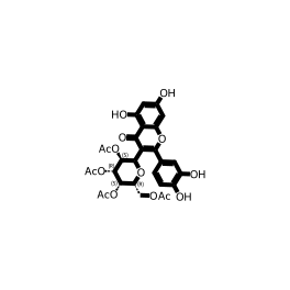 CC(=O)OC[C@H]1OC(c2c(-c3ccc(O)c(O)c3)oc3cc(O)cc(O)c3c2=O)[C@H](OC(C)=O)[C@@H](OC(C)=O)[C@H]1OC(C)=O